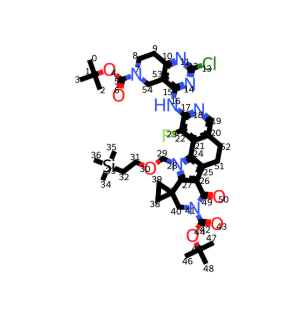 CC(C)(C)OC(=O)N1CCc2nc(Cl)nc(Nc3ncc4c(c3F)-c3c(c5c(n3COCC[Si](C)(C)C)C3(CC3)CN(C(=O)OC(C)(C)C)C5=O)CC4)c2C1